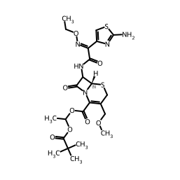 CCON=C(C(=O)NC1C(=O)N2C(C(=O)OC(C)OC(=O)C(C)(C)C)=C(COC)CS[C@@H]12)c1csc(N)n1